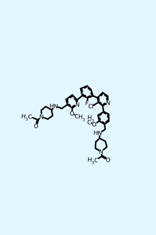 COc1cc(-c2nccc(-c3cccc(-c4ccc(CNC5CCN(C(C)=O)CC5)c(OC)n4)c3F)c2Cl)ccc1CNC1CCN(C(C)=O)CC1